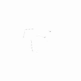 CC(C)C1=C(C(=O)C(F)(F)F)CCC1